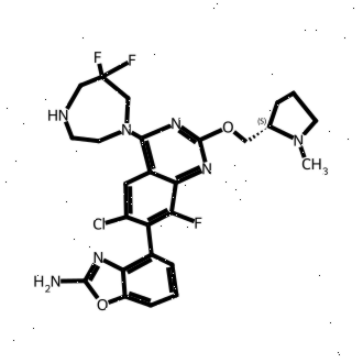 CN1CCC[C@H]1COc1nc(N2CCNCC(F)(F)C2)c2cc(Cl)c(-c3cccc4oc(N)nc34)c(F)c2n1